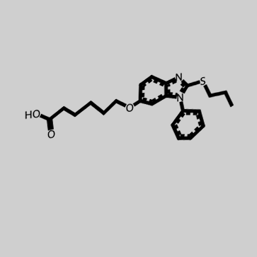 CCCSc1nc2ccc(OCCCCCC(=O)O)cc2n1-c1ccccc1